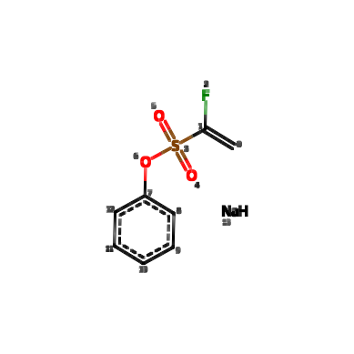 C=C(F)S(=O)(=O)Oc1ccccc1.[NaH]